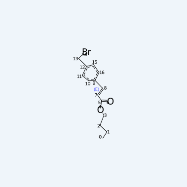 CCCCOC(=O)/C=C/c1ccc(CBr)cc1